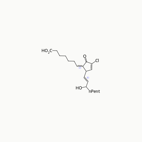 CCCCCC(O)/C=C/C1C=C(Cl)C(=O)/C1=C\CCCCCC(=O)O